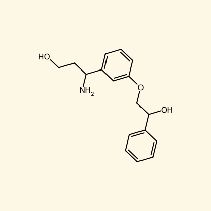 NC(CCO)c1cccc(OCC(O)c2ccccc2)c1